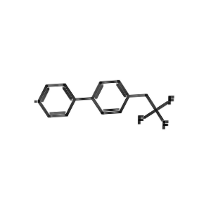 FC(F)(F)Cc1ccc(-c2cc[c]cc2)cc1